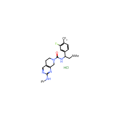 CNCC(NC(=O)N1CCc2cnc(NC(C)C)nc2C1)c1ccc(C(F)(F)F)c(F)c1.Cl